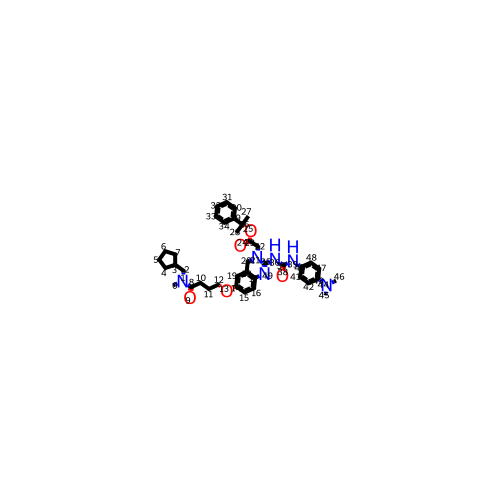 CN(CC1CCCC1)C(=O)CCCOc1ccc2c(c1)CN(CC(=O)OC(C)(C)c1ccccc1)C(NC(=O)Nc1ccc(N(C)C)cc1)=N2